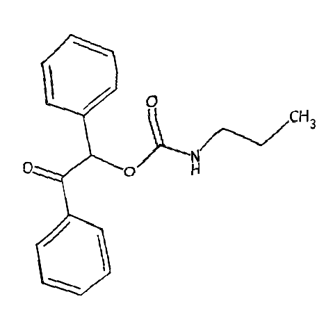 CCCNC(=O)OC(C(=O)c1ccccc1)c1ccccc1